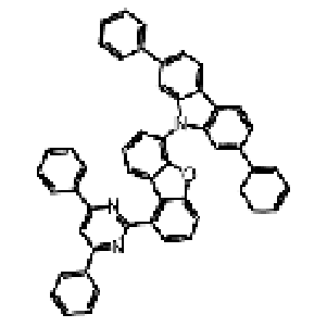 C1=CCCC(c2ccc3c4ccc(-c5ccccc5)cc4n(-c4cccc5c4oc4cccc(-c6nc(-c7ccccc7)cc(-c7ccccc7)n6)c45)c3c2)=C1